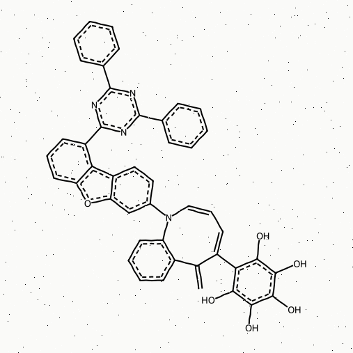 C=C1/C(c2c(O)c(O)c(O)c(O)c2O)=C\C=C/N(c2ccc3c(c2)oc2cccc(-c4nc(-c5ccccc5)nc(-c5ccccc5)n4)c23)c2ccccc21